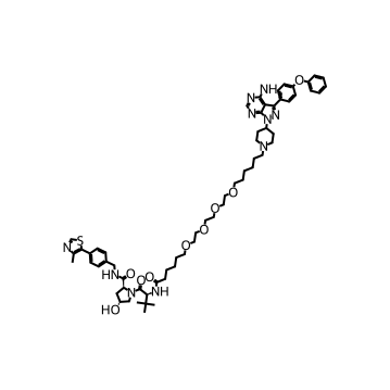 Cc1ncsc1-c1ccc(CNC(=O)[C@@H]2C[C@@H](O)CN2C(=O)[C@@H](NC(=O)CCCCCOCCOCCOCCOCCCCCCN2CCC(n3nc(-c4ccc(Oc5ccccc5)cc4)c4c(N)ncnc43)CC2)C(C)(C)C)cc1